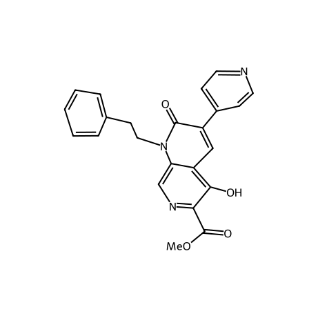 COC(=O)c1ncc2c(cc(-c3ccncc3)c(=O)n2CCc2ccccc2)c1O